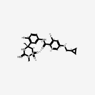 CN1C(=N)N[C@](C)(c2cc(NC(=O)c3ncc(OCC4CC4)cc3F)ccc2F)CS1(=O)=O